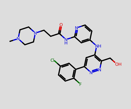 CN1CCN(CCC(=O)Nc2cc(Nc3cc(-c4cc(Cl)ccc4F)nnc3CO)ccn2)CC1